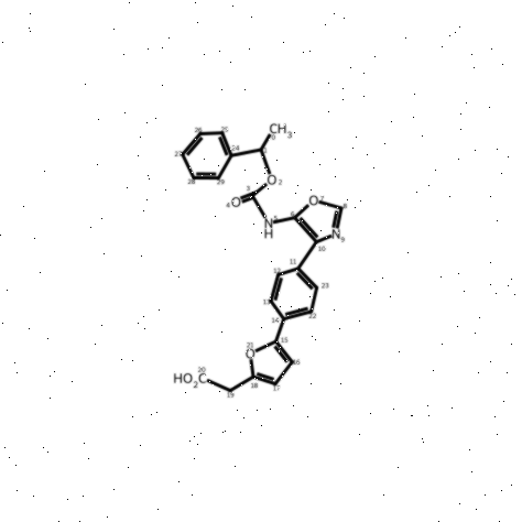 CC(OC(=O)Nc1ocnc1-c1ccc(-c2ccc(CC(=O)O)o2)cc1)c1ccccc1